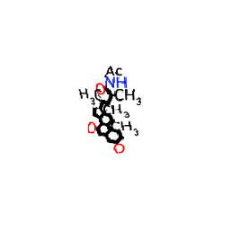 CC(=O)CNC(=O)[C@@H](C)C[C@@H](C)[C@H]1CCC2C3C(=O)CC4CC(=O)CC[C@]4(C)C3CC[C@@]21C